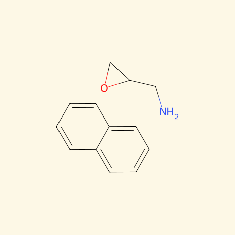 NCC1CO1.c1ccc2ccccc2c1